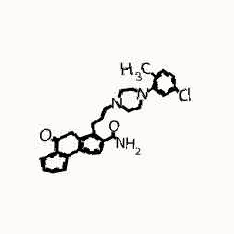 Cc1ccc(Cl)cc1N1CCN(CCCc2c(C(N)=O)ccc3c2CC(=O)c2ccccc2-3)CC1